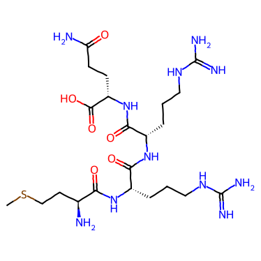 CSCC[C@H](N)C(=O)N[C@@H](CCCNC(=N)N)C(=O)N[C@@H](CCCNC(=N)N)C(=O)N[C@@H](CCC(N)=O)C(=O)O